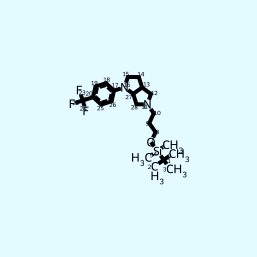 CC(C)(C)[Si](C)(C)OCCCN1CC2CCN(c3ccc(C(F)(F)F)cc3)C2C1